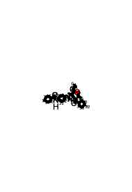 CCOC(=O)c1cn(-c2ccc(NC(=O)C3CCCCC3)cc2)nc1N(C(=O)[C@H]1CC[C@H](C)CC1)C(C)C